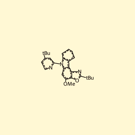 COc1cc2c(c3ccccc3n2-c2cc(C(C)(C)C)ccn2)c2nc(C(C)(C)C)oc12